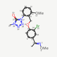 CON=C(C)c1ccc(OCc2c(OC)cccc2-n2nnn(C)c2=O)c(Br)c1